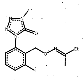 CCC(C)=NOCc1c(I)cccc1-n1nnn(C)c1=O